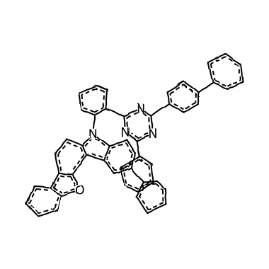 c1ccc(-c2ccc(-c3nc(-c4ccccc4)nc(-c4ccccc4-n4c5ccc(-c6ccccc6)cc5c5c6oc7ccccc7c6ccc54)n3)cc2)cc1